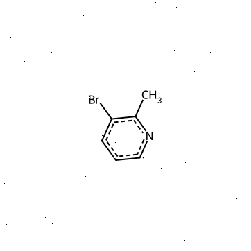 Cc1n[c]ccc1Br